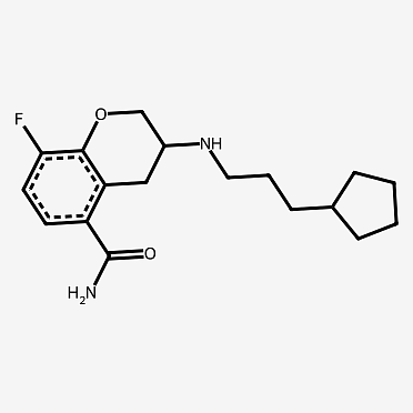 NC(=O)c1ccc(F)c2c1CC(NCCCC1CCCC1)CO2